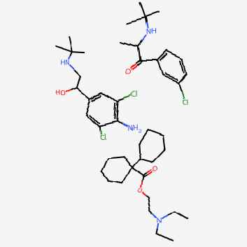 CC(C)(C)NCC(O)c1cc(Cl)c(N)c(Cl)c1.CC(NC(C)(C)C)C(=O)c1cccc(Cl)c1.CCN(CC)CCOC(=O)C1(C2CCCCC2)CCCCC1